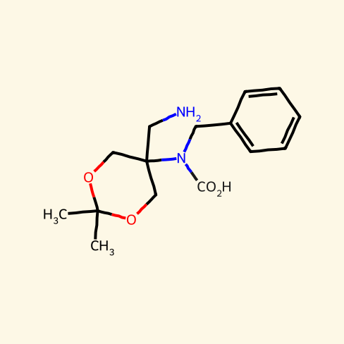 CC1(C)OCC(CN)(N(Cc2ccccc2)C(=O)O)CO1